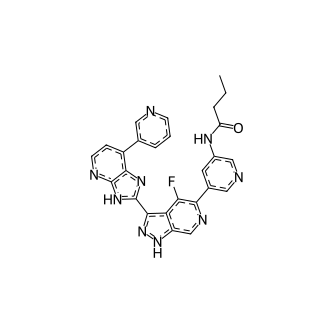 CCCC(=O)Nc1cncc(-c2ncc3[nH]nc(-c4nc5c(-c6cccnc6)ccnc5[nH]4)c3c2F)c1